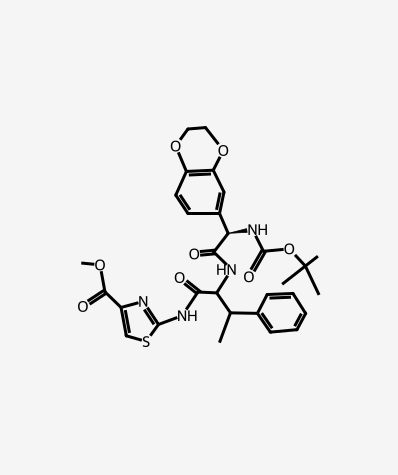 COC(=O)c1csc(NC(=O)C(NC(=O)[C@H](NC(=O)OC(C)(C)C)c2ccc3c(c2)OCCO3)C(C)c2ccccc2)n1